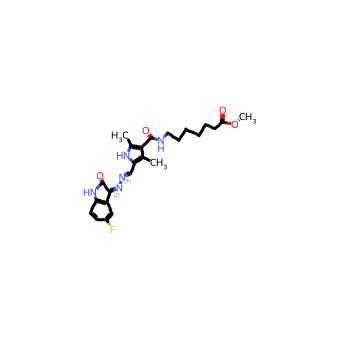 COC(=O)CCCCCCNC(=O)c1c(C)[nH]c(/C=N/N=C2\C(=O)Nc3ccc(F)cc32)c1C